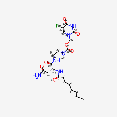 CCCCCCCC(=O)N[C@H](CC(N)=O)C(=O)N[C@H](C)CN(C)C(=O)OCn1cc(F)c(=O)[nH]c1=O